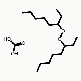 CCCCCC(CC)OOC(CC)CCCCC.O=C(O)O